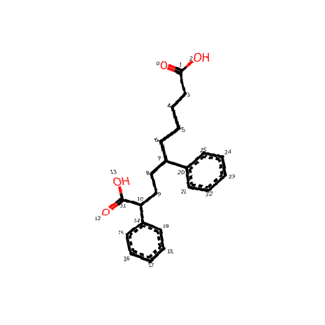 O=C(O)CCCCC(CCC(C(=O)O)c1ccccc1)c1ccccc1